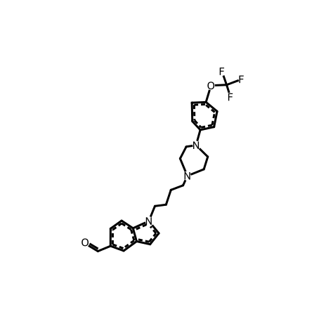 O=Cc1ccc2c(ccn2CCCCN2CCN(c3ccc(OC(F)(F)F)cc3)CC2)c1